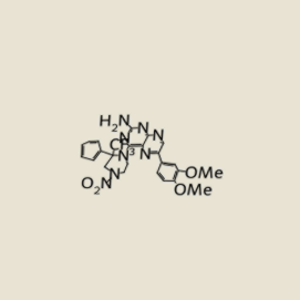 COc1ccc(-c2cnc3nc(N)nc(N4CCN([N+](=O)[O-])CC4(c4ccccc4)C(F)(F)F)c3n2)cc1OC